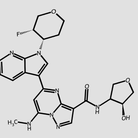 CNc1cc(-c2cn([C@H]3CCOC[C@H]3F)c3ncccc23)nc2c(C(=O)NC3COC[C@H]3O)cnn12